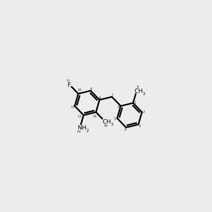 Cc1ccccc1Cc1cc(F)cc(N)c1C